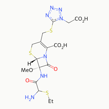 CCSC(N)C(=O)N[C@]1(OC)C(=O)N2C(C(=O)O)=C(CSc3nnnn3CC(=O)O)CS[C@H]21